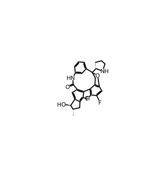 C[C@H]1Cc2c(cc3c(c2F)-c2c(Cl)c(F)cc4c2C[C@]([C@@H]2CCCN2)(O4)c2cccc(c2)NC3=O)[C@@H]1O